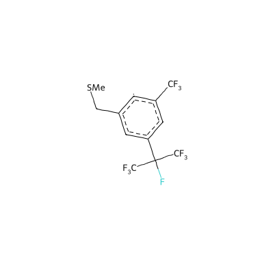 CSCc1[c]c(C(F)(F)F)cc(C(F)(C(F)(F)F)C(F)(F)F)c1